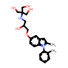 Cc1ccccc1-n1c(C)cc2cc(OCC(O)CNC(CO)(CO)CO)ccc21